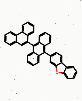 c1ccc2c(c1)cc(-c1c3ccccc3c(-c3ccc4c(c3)oc3ccccc34)c3ccccc13)c1ccccc12